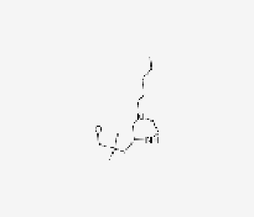 CCCCCN1CCNC(CC(C)(C)C=O)C1